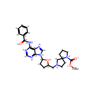 CC(C)(C)OC(=O)N1CCCC12CCN(CC1CCC(n3cnc4c(NC(=O)c5ccccc5)ncnc43)O1)C2